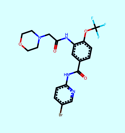 O=C(CN1CCOCC1)Nc1cc(C(=O)Nc2ccc(Br)cn2)ccc1OC(F)(F)F